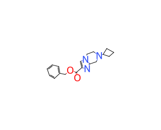 O=C(OCc1ccccc1)c1cn2c(n1)CN(C1CCC1)CC2